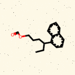 CCC(CCCOC=O)c1cccc2ccccc12